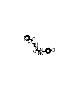 O=C(NCCNC(=O)c1nc(-c2ccc(Cl)cc2)no1)c1cccnc1